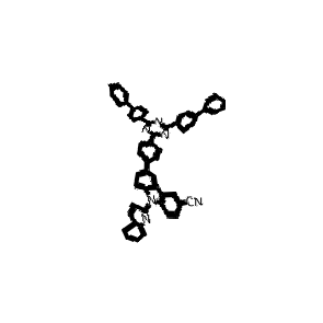 N#Cc1ccc2c(c1)c1cc(-c3ccc(-c4nc(-c5ccc(-c6ccccc6)cc5)nc(-c5ccc(-c6ccccc6)cc5)n4)cc3)ccc1n2-c1ccc2ccccc2n1